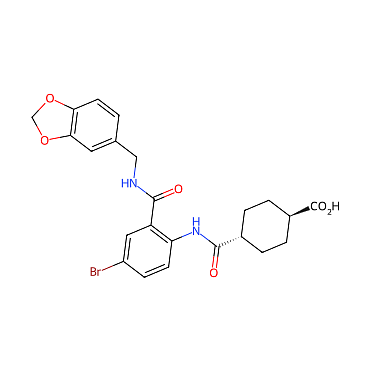 O=C(NCc1ccc2c(c1)OCO2)c1cc(Br)ccc1NC(=O)[C@H]1CC[C@H](C(=O)O)CC1